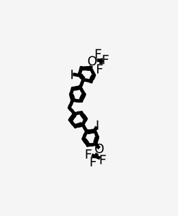 FC(F)(F)Oc1ccc(-c2ccc(Cc3ccc(-c4ccc(OC(F)(F)F)cc4I)cc3)cc2)c(I)c1